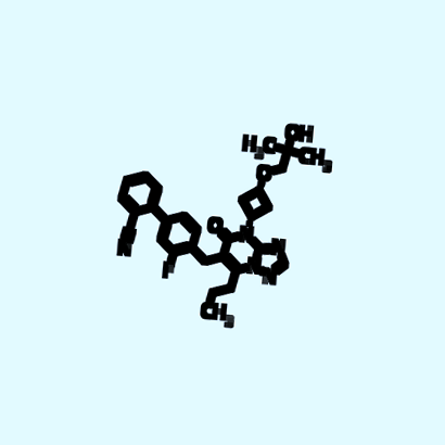 CCCc1c(Cc2ccc(-c3ccccc3C#N)cc2F)c(=O)n([C@H]2C[C@H](OCC(C)(C)O)C2)c2ncnn12